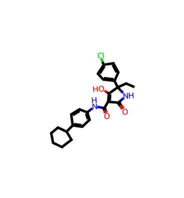 CCC1(c2ccc(Cl)cc2)NC(=O)C(C(=O)Nc2ccc(C3CCCCC3)cc2)=C1O